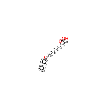 C=C(CCCCCCCCCCCOc1ccc(-c2ccccc2)cc1)C(=O)O